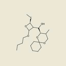 CCCCOC1O[C@@H](SC)C1C(O)[C@@H]1OC2(CCCCC2)OCC1C